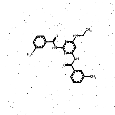 CCNc1cc(NC(=O)c2cccc(C)c2)nc(NC(=O)c2cccc(C)c2)n1